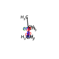 CCCCCCCCCCCCCCCC(NC(=O)OCCCN1CC(=O)N(CC[N+](C)(C)C)C1=O)C(C)OC.[Cl-]